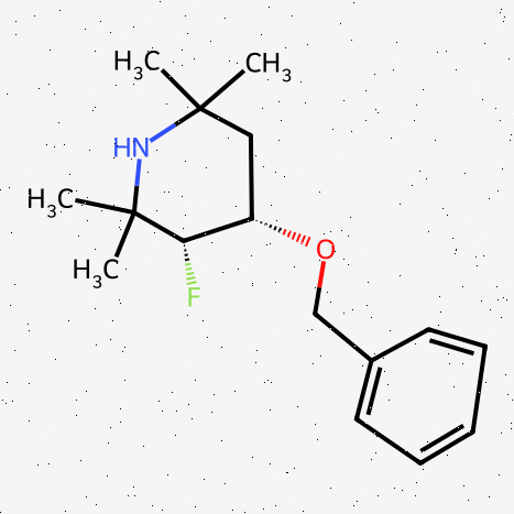 CC1(C)C[C@H](OCc2ccccc2)[C@H](F)C(C)(C)N1